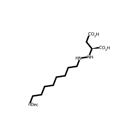 CCCCCCCCCCCCCCCCCCNN[C@@H](CC(=O)O)C(=O)O